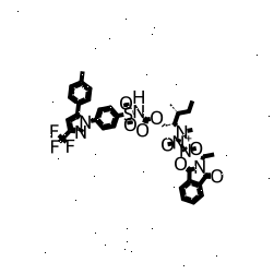 CC[C@@H](C)[C@@H](COC(=O)NS(=O)(=O)c1ccc(-n2nc(C(F)(F)F)cc2-c2ccc(C)cc2)cc1)N(C)/[N+]([O-])=N\OC(C)N1C(=O)c2ccccc2C1=O